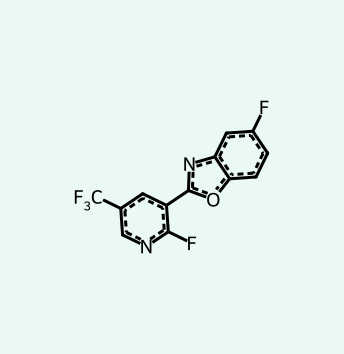 Fc1ccc2oc(-c3cc(C(F)(F)F)cnc3F)nc2c1